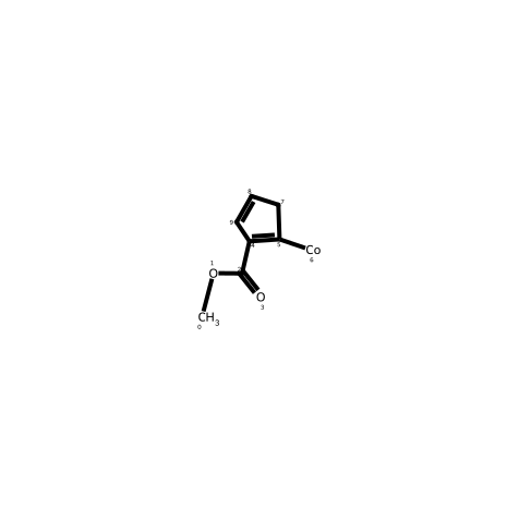 COC(=O)C1=[C]([Co])CC=C1